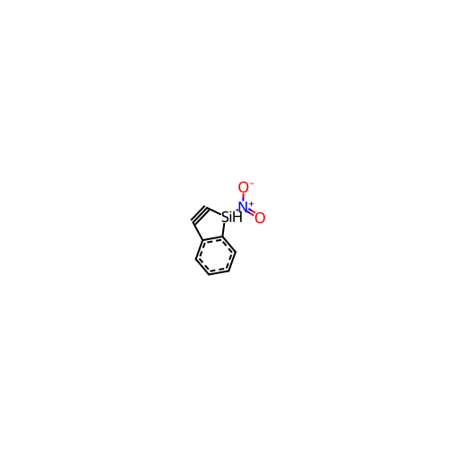 O=[N+]([O-])[SiH]1C#Cc2ccccc21